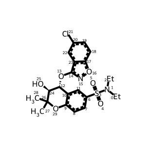 CCN(CC)S(=O)(=O)c1ccc2c(c1)[C@@H](Oc1noc3ccc(Cl)cc13)[C@H](O)C(C)(C)O2